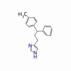 Cc1ccc(C(CCc2c[nH]cn2)c2ccccc2)cc1